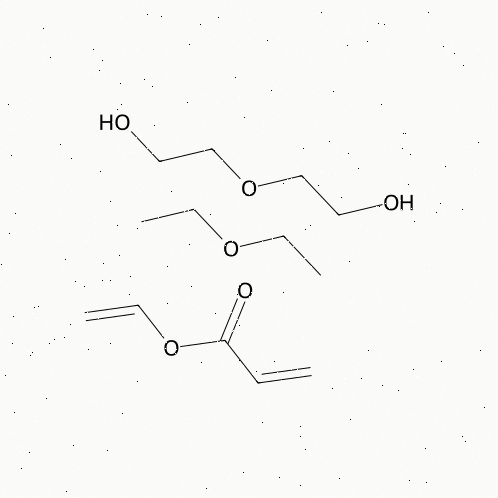 C=COC(=O)C=C.CCOCC.OCCOCCO